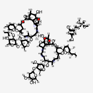 CC[C@H](C)[C@H]1O[C@]2(C=C[C@@H]1C)C[C@@H]1C[C@@H](C/C=C(\C)[C@@H](O[C@H]3C[C@H](OC)[C@@H](O[C@H]4C[C@H](OC)[C@@H](O)[C@H](C)O4)[C@H](C)O3)[C@@H](C)/C=C/C=C3\CO[C@@H]4[C@H](O)C(C)=C[C@@H](C(=O)O1)[C@]34O)O2.CO[C@H]1C[C@H](O[C@H]2[C@H](C)O[C@@H](O[C@@H]3/C(C)=C/C[C@@H]4C[C@@H](C[C@]5(C=C[C@H](C)[C@@H](C(C)C)O5)O4)OC(=O)[C@@H]4C=C(C)[C@@H](O)[C@H]5OC/C(=C\C=C\[C@@H]3C)[C@]54O)C[C@@H]2OC)O[C@@H](C)[C@@H]1O.COc1nn(CSP(=S)(OC)OC)c(=O)s1